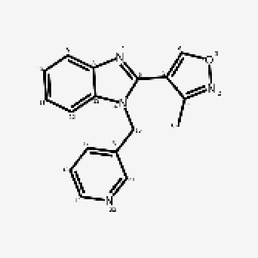 Cc1nocc1-c1nc2ccccc2n1Cc1cccnc1